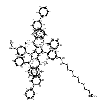 CCCCCCCCCCCCCCCCCCCCOc1ccc(-c2c3/c(=C(\C#N)c4cnc5cc(-c6ccccc6)ccc5n4)n(B(c4ccccc4)c4ccccc4)c(-c4ccc(OCC)cc4)c3/c(=C(\C#N)c3cnc4cc(-c5ccccc5)ccc4n3)n2B(c2ccccc2)c2ccccc2)cc1